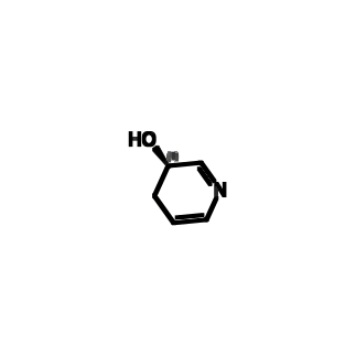 O[C@H]1C=NC=CC1